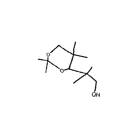 CC1(C)OCC(C)(C)C(C(C)(C)CO)O1